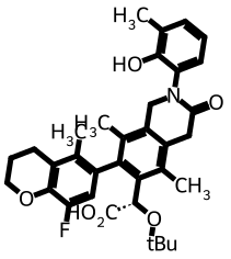 Cc1cccc(N2Cc3c(C)c(-c4cc(F)c5c(c4C)CCCO5)c([C@H](OC(C)(C)C)C(=O)O)c(C)c3CC2=O)c1O